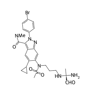 CNC(=O)c1c2cc(C3CC3)c(N(CCCN[C@](C)(N)C=O)S(C)(=O)=O)cc2nn1-c1ccc(Br)cc1